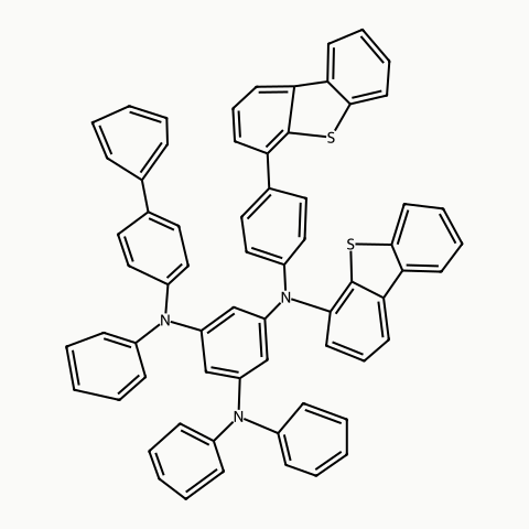 c1ccc(-c2ccc(N(c3ccccc3)c3cc(N(c4ccccc4)c4ccccc4)cc(N(c4ccc(-c5cccc6c5sc5ccccc56)cc4)c4cccc5c4sc4ccccc45)c3)cc2)cc1